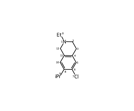 CCN1CCc2cc(Cl)c(C(C)C)cc2C1